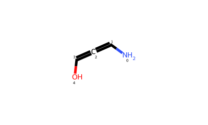 NC=C=CO